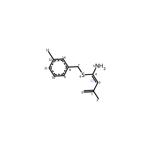 C=C(C)/C=C(/N)SCc1cccc(C)c1